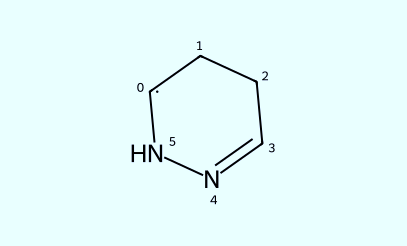 [CH]1CCC=NN1